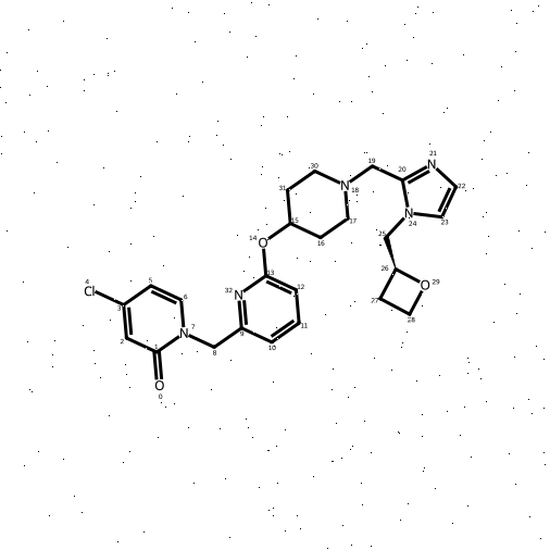 O=c1cc(Cl)ccn1Cc1cccc(OC2CCN(Cc3nccn3C[C@@H]3CCO3)CC2)n1